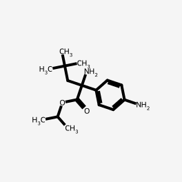 CC(C)OC(=O)C(N)(CC(C)(C)C)c1ccc(N)cc1